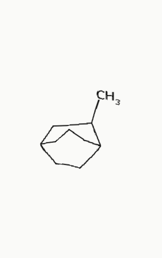 CC1CC2CCCC1CC2